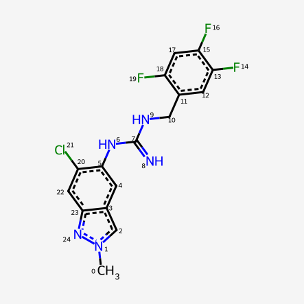 Cn1cc2cc(NC(=N)NCc3cc(F)c(F)cc3F)c(Cl)cc2n1